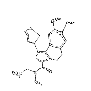 CCOC(=O)CN(C)C(=O)c1cc(C2C=CSC2)c2n1CCc1cc(OC)c(OC)cc1-2